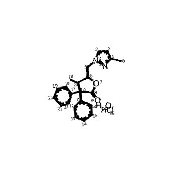 Cc1ccn(CC2OC(=O)C(c3ccccc3)(c3ccccc3)C2C)n1.Cl.O